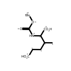 CC(CCC(=O)O)C(NC(=O)OC(C)(C)C)C(=O)O